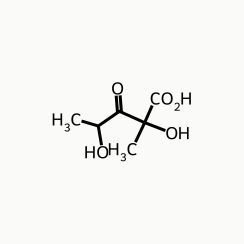 CC(O)C(=O)C(C)(O)C(=O)O